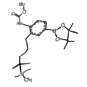 CC(C)(C)OC(=O)Nc1ccc(B2OC(C)(C)C(C)(C)O2)cc1CCCC(C)(C)[Si](C)(C)O